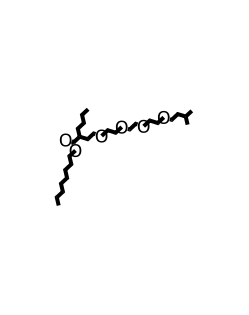 CCCCCCCCOC(=O)C(CCCC)CCOCCOCCOCCOCCC(C)C